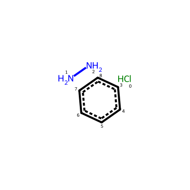 Cl.NN.c1ccccc1